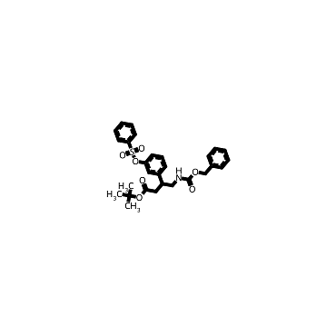 CC(C)(C)OC(=O)CC(CNC(=O)OCc1ccccc1)c1cccc(OS(=O)(=O)c2ccccc2)c1